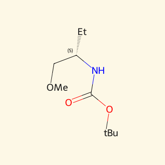 CC[C@@H](COC)NC(=O)OC(C)(C)C